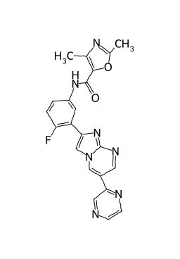 Cc1nc(C)c(C(=O)Nc2ccc(F)c(-c3cn4cc(-c5cnccn5)cnc4n3)c2)o1